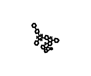 c1ccc(-c2ccc(-c3nc(-c4ccccc4)nc(-c4ccc5nc(-c6ccccc6)c6ccc7c(c6c5c4)Sc4ccccc4C74c5ccccc5-c5ccccc54)n3)cc2)cc1